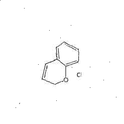 C1=Cc2ccccc2OC1.[C]